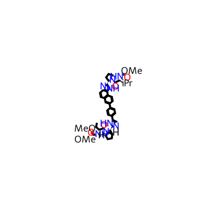 COC(=O)N[C@H](C(=O)N1CCC[C@H]1c1nc2ccc3cc(-c4ccc(-c5cnc([C@@H]6[C@H]7CC[C@H](C7)N6C(=O)[C@@H](NC(=O)OC)[C@@H](C)OC)[nH]5)cc4)ccc3c2[nH]1)C(C)C